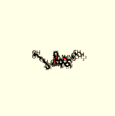 CC(C)(C)OC(=O)Nc1sc2c(F)ccc(-c3c(Cl)cc4c(N5CC6CCC(C5)N6C(=O)OC(C)(C)C)nc(OC[C@@H]5CCCN5CCCOCCCC(=O)O)nc4c3F)c2c1C#N